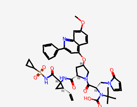 C=C[C@@H]1C[C@]1(NC(=O)[C@@H]1C[C@@H](Oc2cc(-c3ccccc3)nc3cc(OC)ccc23)CN1C(=O)[C@H](CN1C=C=CC1=O)N(C(=O)O)C(C)(C)C)C(=O)NS(=O)(=O)C1CC1